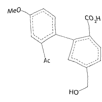 COc1ccc(-c2cc(CO)ccc2C(=O)O)c(C(C)=O)c1